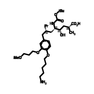 COCCCOc1cc(C[C@@H](C[C@H](NC(=O)OC(C)(C)C)[C@@H](O)C[C@@H](C)C(=O)O)C(C)C)ccc1OCCCCCN